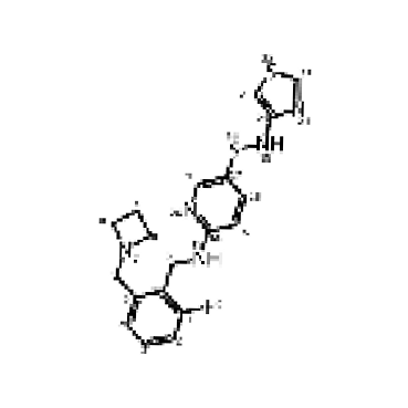 Fc1cccc(CN2CCC2)c1CNc1ccc(SNc2cscn2)cn1